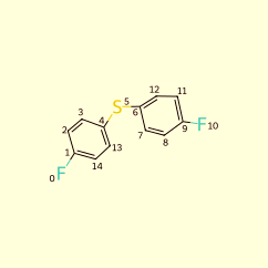 Fc1ccc(Sc2ccc(F)cc2)cc1